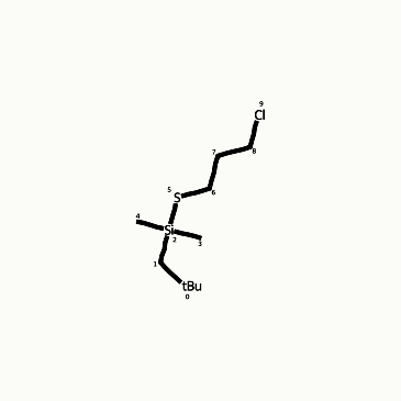 CC(C)(C)C[Si](C)(C)SCCCCl